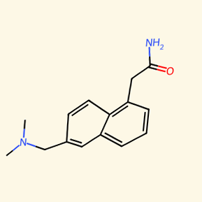 CN(C)Cc1ccc2c(CC(N)=O)cccc2c1